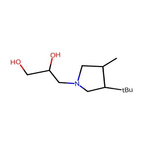 CC1CN(CC(O)CO)CC1C(C)(C)C